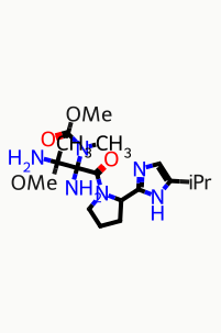 COC(=O)N(C)C(N)(C(=O)N1CCCC1c1ncc(C(C)C)[nH]1)C(C)(N)OC